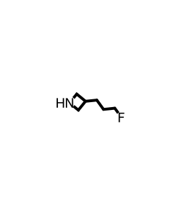 FCCCC1CNC1